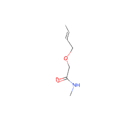 C/C=C/COCC(=O)NC